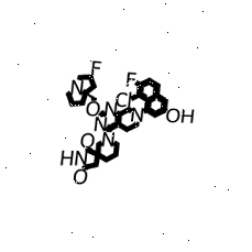 O=C1CC2(CCCN(c3nc(OC[C@@]45CCCN4C[C@H](F)C5)nc4c3CCN(c3cc(O)cc5ccc(F)c(Cl)c35)C4)C2)C(=O)N1